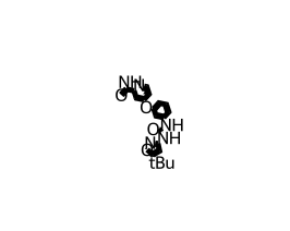 CC(C)(C)c1cc(NC(=O)Nc2cccc(Oc3ccnc(C(N)=O)c3)c2)no1